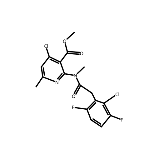 COC(=O)c1c(Cl)cc(C)nc1N(C)C(=O)Cc1c(F)ccc(F)c1Cl